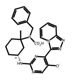 CC1(N(Cc2ccccc2)C(=O)O)CCC[C@@H](Nc2ncc(Cl)c(-c3nnc4ccccn34)n2)C1